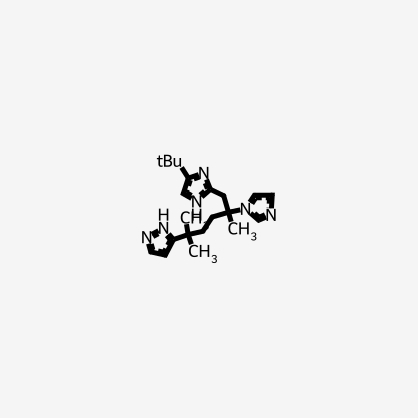 CC(C)(C)c1c[nH]c(CC(C)(CCC(C)(C)c2ccn[nH]2)n2ccnc2)n1